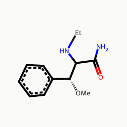 CCNC(C(N)=O)[C@H](OC)c1ccccc1